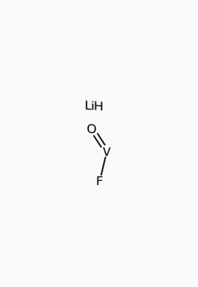 [LiH].[O]=[V][F]